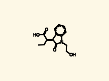 CCC(C(=O)O)=C1C(=O)N(CCO)c2ccccc21